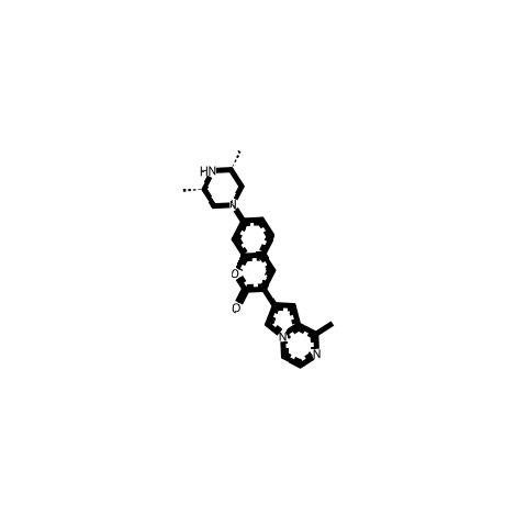 Cc1nccn2cc(-c3cc4ccc(N5C[C@@H](C)N[C@@H](C)C5)cc4oc3=O)cc12